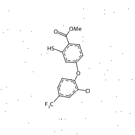 COC(=O)c1ccc(Oc2ccc(C(F)(F)F)cc2Cl)cc1S